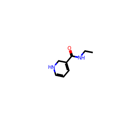 CCNC(=O)C1=CC=CNC1